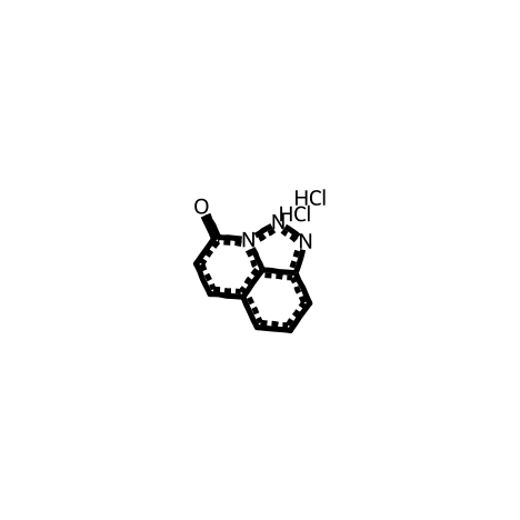 Cl.Cl.O=c1ccc2cccc3nnn1c23